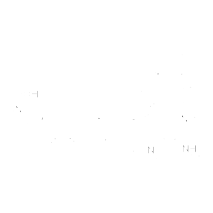 C/C(=N/O)c1ccc(CCc2cnc3c(N)nc4cc(C)ccc4c3c2)cc1